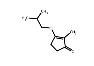 CC1=C(OCC(C)C)CCC1=O